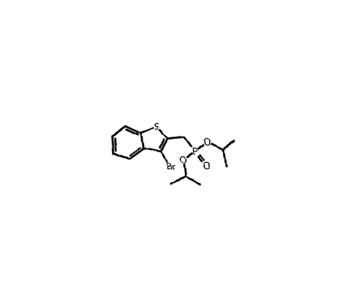 CC(C)OP(=O)(Cc1sc2ccccc2c1Br)OC(C)C